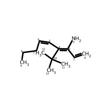 C=C/C(N)=C(/C=C\CCC)C(C)(C)C